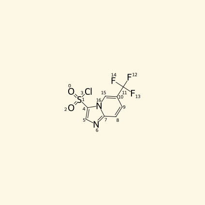 O=S(=O)(Cl)c1cnc2ccc(C(F)(F)F)cn12